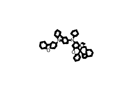 c1ccc(N(c2ccc3c(c2)Oc2ccccc2C32c3ccccc3-c3cccc4cccc2c34)c2ccc3c(c2)c2ccccc2n3-c2ccc3oc4ccccc4c3c2)cc1